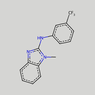 Cn1c(Nc2cccc(C(F)(F)F)c2)nc2ccccc21